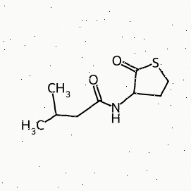 CC(C)CC(=O)NC1CCSC1=O